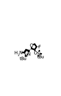 CC(C)(C)n1nc([C@@H]2OC[C@H](F)C2O[Si](C)(C)C(C)(C)C)cc1N